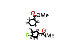 CNC(=O)c1ccc(F)c(C[C@H]2CC[C@H](C(=O)OC)CC2)c1